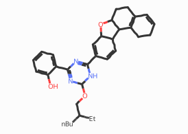 CCCCC(CC)COC1N=C(c2ccccc2O)N=C(C2=CC3OC4CCC5=C(CCC=C5)C4C3C=C2)N1